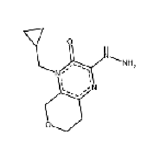 NNc1nc2c(n(CC3CC3)c1=O)COCC2